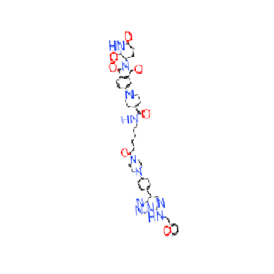 O=C1CCC(N2C(=O)c3ccc(N4CCC(C(=O)NCCCCCC(=O)N5CCN(c6ccc(C7CN=C(NCc8ccco8)n8cnnc87)cc6)CC5)CC4)cc3C2=O)C(=O)N1